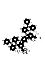 CC(C)(C)c1cc2c3c(c1)c1cc4c5cc(C(C)(C)C)cc6c5n(c4cc1n3-c1cccc3c1B2c1ccccc1N3c1ccccc1)-c1cccc2c1B6c1ccccc1N2c1ccccc1